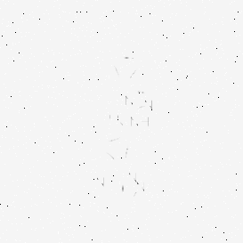 Cc1cc(C)c(-c2cnc(NC(=O)c3cccc(Cn4nccc4CN(C)C)c3)n2C)cc1C